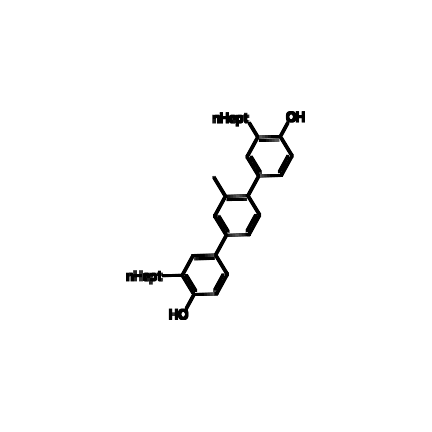 CCCCCCCc1cc(-c2ccc(-c3ccc(O)c(CCCCCCC)c3)c(C)c2)ccc1O